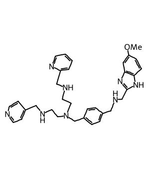 COc1ccc2[nH]c(CNCc3ccc(CN(CCNCc4ccncc4)CCNCc4ccccn4)cc3)nc2c1